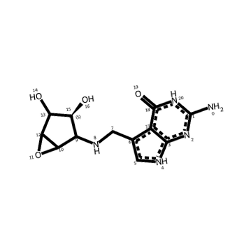 Nc1nc2[nH]cc(CNC3C4OC4C(O)[C@H]3O)c2c(=O)[nH]1